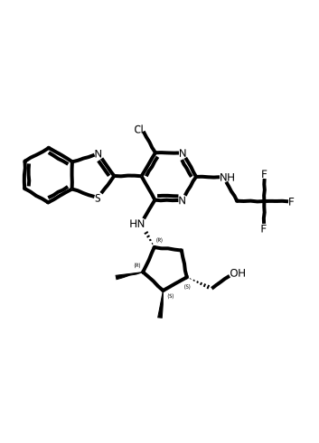 C[C@@H]1[C@@H](CO)C[C@@H](Nc2nc(NCC(F)(F)F)nc(Cl)c2-c2nc3ccccc3s2)[C@@H]1C